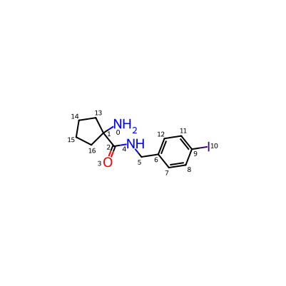 NC1(C(=O)NCc2ccc(I)cc2)CCCC1